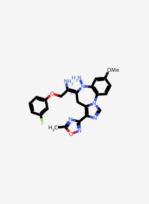 COc1ccc2c(c1)N(N)/C(=C(\N)COc1cccc(F)c1)Cc1c(-c3noc(C)n3)ncn1-2